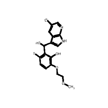 COCCOc1ccc(F)c(C(O)c2c[nH]c3ncc(Cl)cc23)c1O